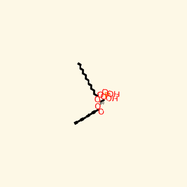 C#CC#CC#CC#CC(=O)OC[C@@H](COP(=O)(O)O)OC(=O)CCCCCCCCCCCCC